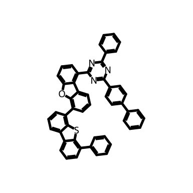 c1ccc(-c2ccc(-c3nc(-c4ccccc4)nc(-c4cccc5oc6c(-c7cccc8c7sc7c(-c9ccccc9)cccc78)cccc6c45)n3)cc2)cc1